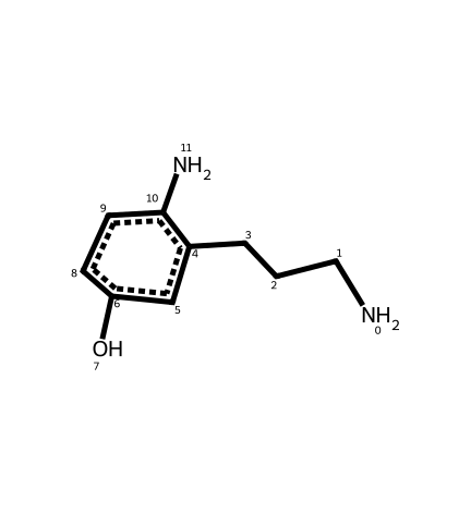 NCCCc1cc(O)ccc1N